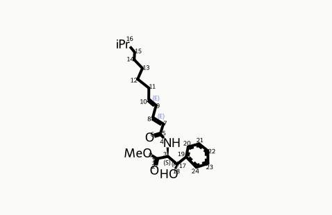 COC(=O)[C@@H](NC(=O)/C=C/C=C/CCCCCC(C)C)[C@H](O)c1ccccc1